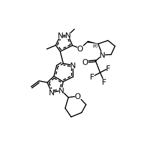 C=Cc1nn(C2CCCCO2)c2cnc(-c3c(C)nn(C)c3OC[C@H]3CCCN3C(=O)C(F)(F)F)cc12